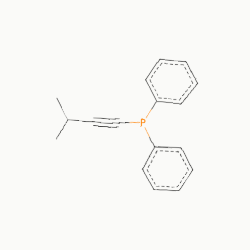 CC(C)C#CP(c1ccccc1)c1ccccc1